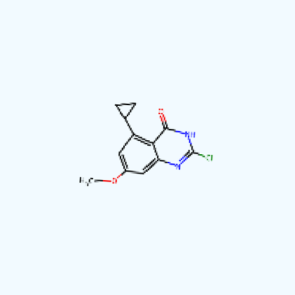 COc1cc(C2CC2)c2c(=O)[nH]c(Cl)nc2c1